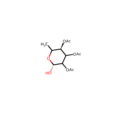 CC(=O)OC1C(OC(C)=O)[C@H](O)OC(C)[C@H]1OC(C)=O